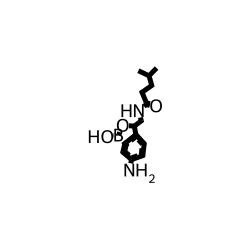 CC(C)CCC(=O)NCC1OB(O)c2cc(N)ccc21